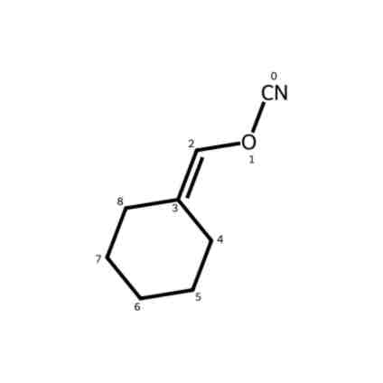 N#COC=C1CCCCC1